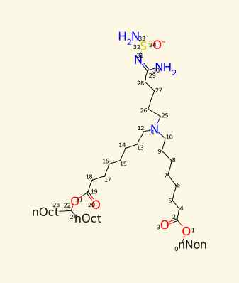 CCCCCCCCCOC(=O)CCCCCCCN(CCCCCCCC(=O)OC(CCCCCCCC)CCCCCCCC)CCCC/C(N)=N/[S+](N)[O-]